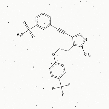 Cn1ncc(C#Cc2cccc(S(N)(=O)=O)c2)c1CCOc1ccc(C(F)(F)F)cc1